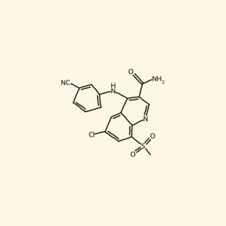 CS(=O)(=O)c1cc(Cl)cc2c(Nc3cccc(C#N)c3)c(C(N)=O)cnc12